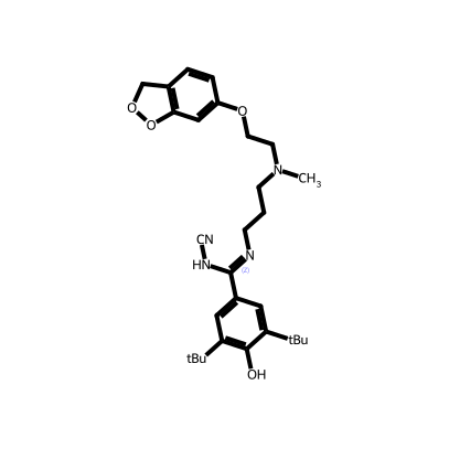 CN(CCC/N=C(\NC#N)c1cc(C(C)(C)C)c(O)c(C(C)(C)C)c1)CCOc1ccc2c(c1)OOC2